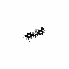 Cc1cc(Cl)ccc1C(=O)NS(=O)(=O)c1cnc(Cl)c(Br)c1